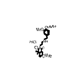 COc1ccc2c(c1)C(=O)N(CCCNCCc1ccc(OC)c(OC)c1)C(=O)C2(C)C.Cl